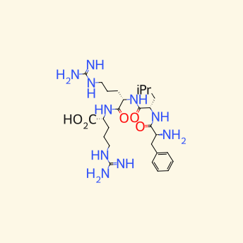 CC(C)C[C@H](NC(=O)[C@@H](N)Cc1ccccc1)C(=O)N[C@@H](CCCNC(=N)N)C(=O)N[C@H](CCCNC(=N)N)C(=O)O